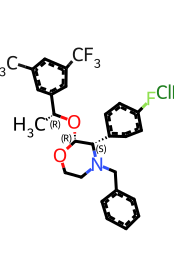 C[C@@H](O[C@H]1OCCN(Cc2ccccc2)[C@H]1c1ccc(F)cc1)c1cc(C(F)(F)F)cc(C(F)(F)F)c1.Cl